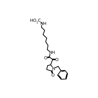 O=C(O)NCCCCCCCNC(=O)C(=O)C1CCC(=O)N1Cc1ccccc1